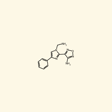 NCn1cc(-c2ccccc2)nc1-c1nonc1N